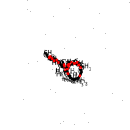 COCCN1CCN(c2ncc(CNC(=O)O[C@@H]3CC[C@@H](C[C@@H](N)[C@@H]4C[C@@H](OC)[C@H](C)/C=C(\C)[C@@H](O)[C@@H](O)C(=O)[C@H](C)C[C@H](C)/C=C/C=C/C=C(\C)[C@@H](OC)C[C@@H]5CC[C@@H](C)[C@@](O)(O5)C(=O)C(=O)N5CCCC[C@H]5C(=O)O4)C[C@H]3OC)cn2)CC1